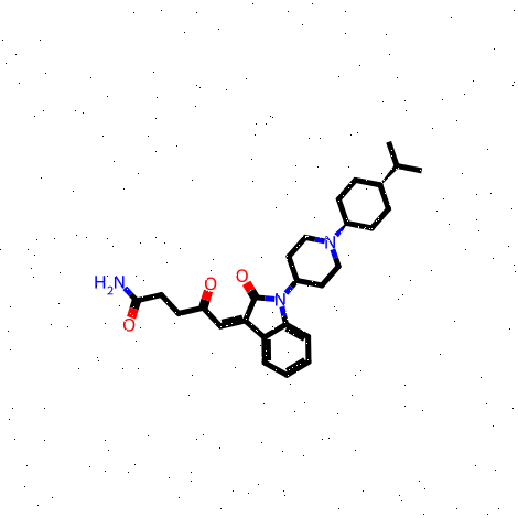 CC(C)[C@H]1CC[C@@H](N2CCC(N3C(=O)/C(=C\C(=O)CCC(N)=O)c4ccccc43)CC2)CC1